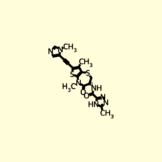 Cc1nnc(C(=O)N[C@H]2CSc3c(sc(C#Cc4cncn4C)c3C)N(C)C2=O)[nH]1